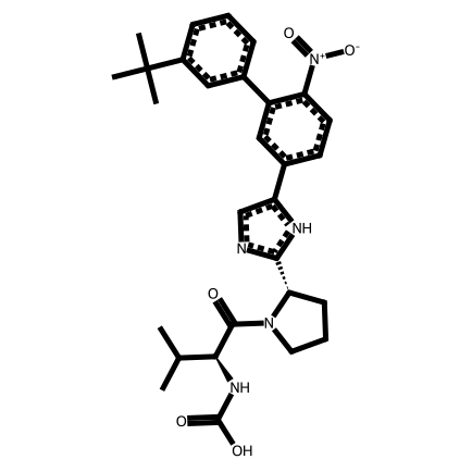 CC(C)[C@H](NC(=O)O)C(=O)N1CCC[C@H]1c1ncc(-c2ccc([N+](=O)[O-])c(-c3cccc(C(C)(C)C)c3)c2)[nH]1